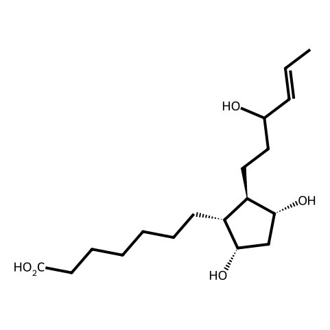 C/C=C/C(O)CC[C@@H]1[C@@H](CCCCCCC(=O)O)[C@@H](O)C[C@H]1O